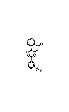 O=C(OC1=CC(=O)c2ccccc2C1=O)c1cccc(C(F)(F)F)c1